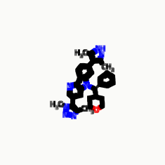 Cc1n[nH]c(C)c1-c1ccc2c3ncc(-c4c(C)nnn4C)cc3n([C@H](c3ccccc3)C3CCOCC3)c2c1